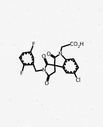 O=C(O)CN1C(=O)C2(CC(=O)N(Cc3cc(F)ccc3F)C2=O)c2cc(Cl)ccc21